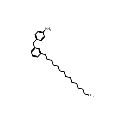 CCCCCCCCCCCCCCCc1cccc(Cc2ccc(N)cc2)c1